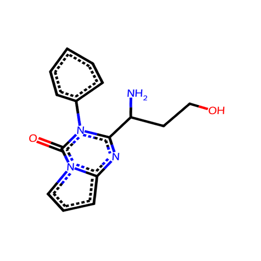 NC(CCO)c1nc2cccn2c(=O)n1-c1ccccc1